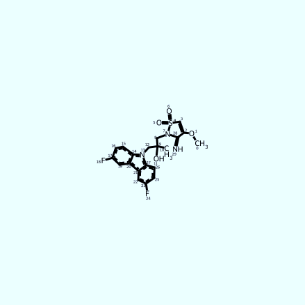 COC1=CS(=O)(=O)N(CC(C)(O)Cn2c3ccc(F)cc3c3cc(F)ccc32)C1=N